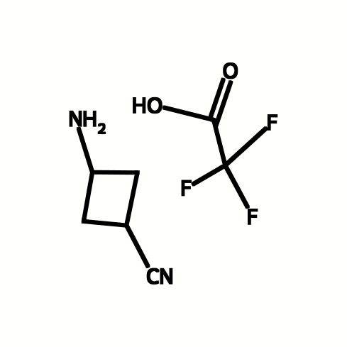 N#CC1CC(N)C1.O=C(O)C(F)(F)F